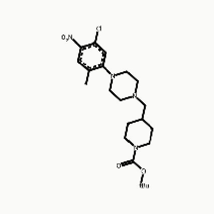 Cc1cc([N+](=O)[O-])c(Cl)cc1N1CCN(CC2CCN(C(=O)OC(C)(C)C)CC2)CC1